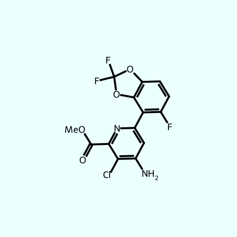 COC(=O)c1nc(-c2c(F)ccc3c2OC(F)(F)O3)cc(N)c1Cl